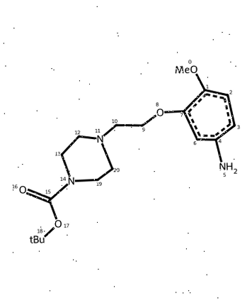 COc1ccc(N)cc1OCCN1CCN(C(=O)OC(C)(C)C)CC1